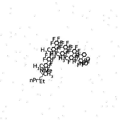 CCCC(CC)CCC(C)CNC.Cc1cc(-c2c(F)c(F)c(F)c(F)c2F)c(F)c(F)c1F.Cc1cc(-c2c(F)c(F)c(F)c(F)c2F)c(F)c(F)c1F.Cc1cc(-c2c(F)c(F)c(F)c(F)c2F)c(F)c(F)c1F.Cc1cc(-c2c(F)c(F)c(F)c(F)c2F)c(F)c(F)c1F.Fc1ccccc1-c1c(F)c(F)c(F)c(F)c1F.[O]=[Al][OH]